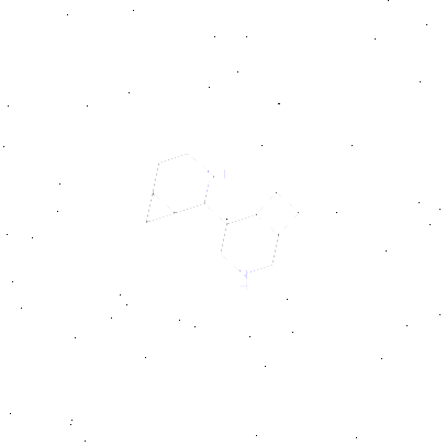 C1CC2CC2C(C2CNCC3CCC32)N1